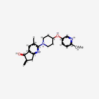 C=C1Cc2nc(N3CCC(Oc4ccc(OC)nc4)CC3)c(C)cc2C1=O